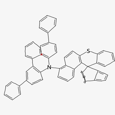 c1ccc(-c2ccc(N(c3ccc(-c4ccccc4)cc3-c3ccccc3)c3cccc4c5c(ccc34)Sc3ccccc3C53c4ccccc4-c4ccccc43)cc2)cc1